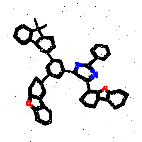 CC1(C)c2ccccc2-c2cc(-c3cc(-c4ccc5oc6ccccc6c5c4)cc(-c4cc(-c5cccc6c5oc5ccccc56)nc(-c5ccccc5)n4)c3)ccc21